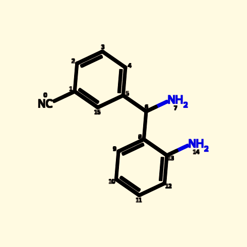 N#Cc1cccc(C(N)c2ccccc2N)c1